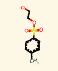 Cc1ccc(S(=O)(=O)OCC[O])cc1